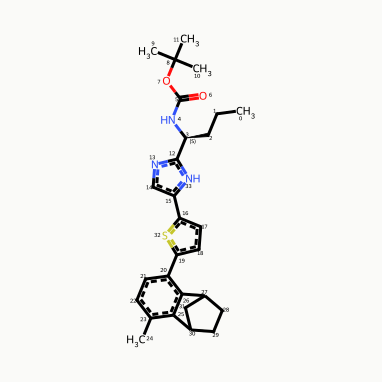 CCC[C@H](NC(=O)OC(C)(C)C)c1ncc(-c2ccc(-c3ccc(C)c4c3C3CCC4C3)s2)[nH]1